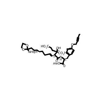 CC#CCOc1ccc(C[C@H](NC(=O)[C@@H](C=CCCCCCCC2(CCCCCCC)OCCO2)[C@@](O)(CCC(=O)O)C(=O)O)C(=O)OC)cc1